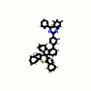 c1ccc(-c2nc(-c3ccc(-c4cccc5c4-c4ccccc4C54c5ccc6ccccc6c5Sc5c4ccc4ccccc54)cc3)nc3ccccc23)cc1